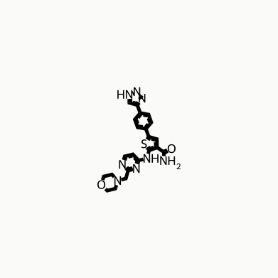 NC(=O)c1cc(-c2ccc(-c3c[nH]nn3)cc2)sc1Nc1ccnc(CN2CCOCC2)n1